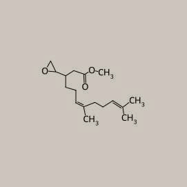 COC(=O)CC(CCC=C(C)CCC=C(C)C)C1CO1